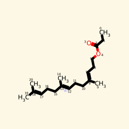 CCC(=O)OCCC=C(C)CC/C=C(\C)CCC=C(C)C